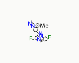 COc1cc(-c2nnc3n([C@@H](C)c4ccc(F)cc4)cc(CF)cc2-3)ccc1-n1cnc(C)c1